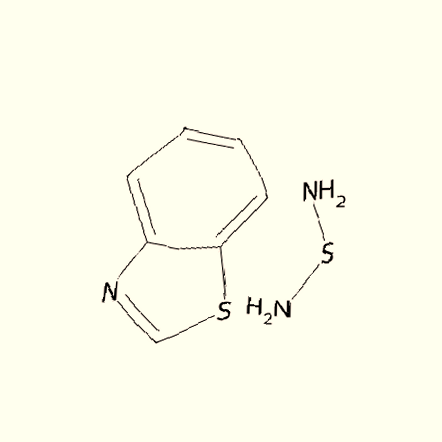 NSN.c1ccc2scnc2c1